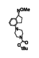 CO/N=C1\CCc2c1cccc2N1CCN(C(=O)OC(C)(C)C)CC1